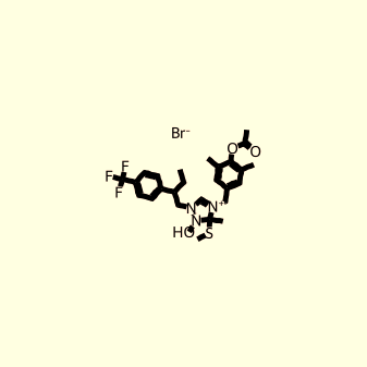 CCC(CN1C=[N+](Cc2cc(C)c(OC(C)=O)c(C)c2)C(C)(SC)N1O)c1ccc(C(F)(F)F)cc1.[Br-]